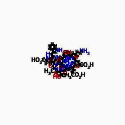 CC(C)CC(NC(=O)C(C)NC(=O)C(NC(=O)C(NC(=O)C(C)NC(=O)C(CO)NC(=O)C(CCCCN)NC(=O)C(CCC(=O)O)NC(=O)C(N)CCC(=O)O)C(C)C)C(C)O)C(=O)NC(Cc1c[nH]c2ccccc12)C(=O)NCC(=O)O